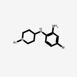 CC(=O)N1CCC(Nc2ccc(Br)cc2N)CC1